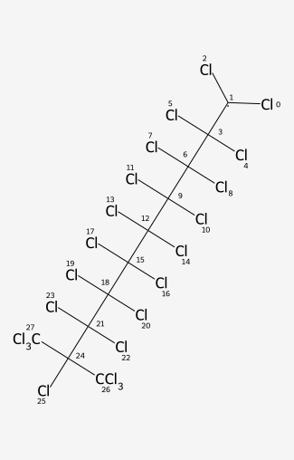 Cl[C](Cl)C(Cl)(Cl)C(Cl)(Cl)C(Cl)(Cl)C(Cl)(Cl)C(Cl)(Cl)C(Cl)(Cl)C(Cl)(Cl)C(Cl)(C(Cl)(Cl)Cl)C(Cl)(Cl)Cl